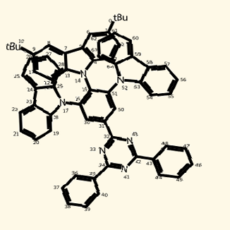 CC(C)(C)c1ccc2c(c1)c1cc(C(C)(C)C)ccc1n2-c1c(-n2c3ccccc3c3ccccc32)cc(-c2nc(-c3ccccc3)nc(-c3ccccc3)n2)cc1-n1c2ccccc2c2ccccc21